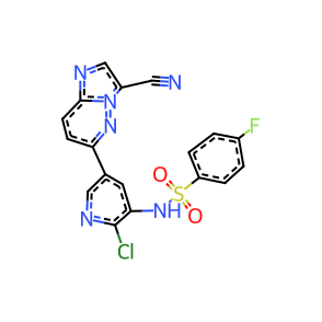 N#Cc1cnc2ccc(-c3cnc(Cl)c(NS(=O)(=O)c4ccc(F)cc4)c3)nn12